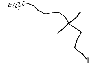 CCOC(=O)CCCC(C)(C)CCI